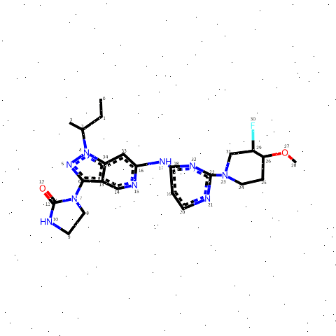 CCC(C)n1nc(N2CCNC2=O)c2cnc(Nc3ccnc(N4CCC(OC)C(F)C4)n3)cc21